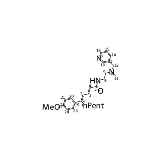 CCCCC/C(=C\C=C\C(=O)NCCN(C)Cc1cccnc1)c1ccc(OC)cc1